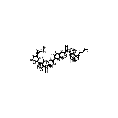 CCCCC1CC1(c1cc(NC(=O)Cc2ccc(-c3cnc(Nc4cnn(C5CC(C6CC6CC)CCO5)c4CC)nc3)cc2F)no1)C(F)(F)F